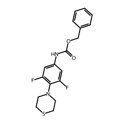 O=C(Nc1cc(F)c(N2CCSCC2)c(F)c1)OCc1ccccc1